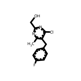 Cc1nc(CO)nc(Cl)c1Cc1ccc(F)cc1